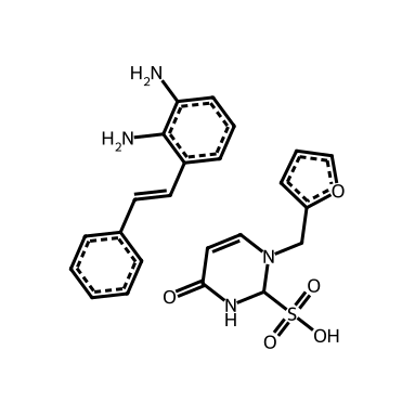 Nc1cccc(C=Cc2ccccc2)c1N.O=C1C=CN(Cc2ccco2)C(S(=O)(=O)O)N1